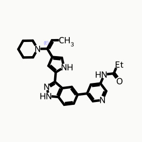 C/C=C(\c1c[nH]c(-c2n[nH]c3ccc(-c4cncc(NC(=O)CC)c4)cc23)c1)N1CCCCC1